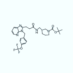 CC(C)(C)OC(=O)N1CCCC(CNC(=O)CCc2nc3cccnc3n2Cc2ccc(OC(F)(F)F)cc2)C1